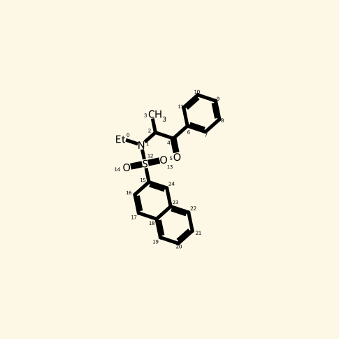 CCN(C(C)C(=O)c1ccccc1)S(=O)(=O)c1ccc2ccccc2c1